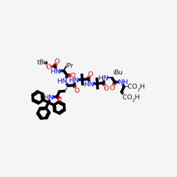 CC[C@H](C)[C@H](NC(=O)C(C)(C)NC(=O)C(C)(C)NC(=O)[C@H](CCC(=O)NC(c1ccccc1)(c1ccccc1)c1ccccc1)NC(=O)[C@@H](NC(=O)OC(C)(C)C)C(C)C)C(=O)N[C@@H](CC(=O)O)C(=O)O